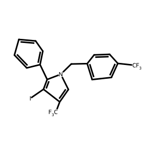 FC(F)(F)c1ccc(Cn2cc(C(F)(F)F)c(I)c2-c2ccccc2)cc1